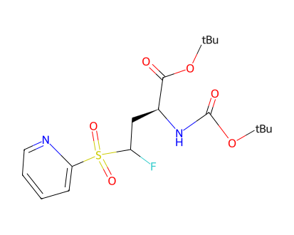 CC(C)(C)OC(=O)N[C@@H](CC(F)S(=O)(=O)c1ccccn1)C(=O)OC(C)(C)C